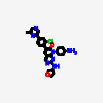 Cc1cncc(-c2ccc(-c3cc4cnc(N[C@@H]5CCOC5)nc4n([C@H]4CC[C@H](N)CC4)c3=O)c(Cl)c2)n1